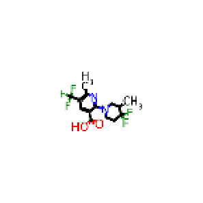 Cc1nc(N2CCC(F)(F)C(C)C2)c(C(=O)O)cc1C(F)(F)F